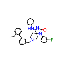 CCc1ccccc1-c1cccc(CN2CCC3(CC2)C(NC2CCCCC2)=NC(=O)N3c2cccc(F)c2)c1